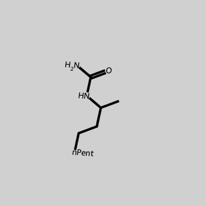 CCCCCCCC(C)NC(N)=O